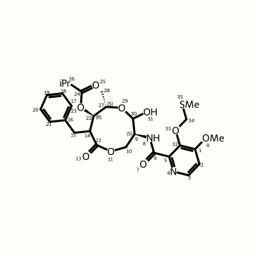 COc1ccnc(C(=O)N[C@H]2COC(=O)C(Cc3ccccc3)[C@@H](OC(=O)C(C)C)[C@H](C)OC2O)c1OCSC